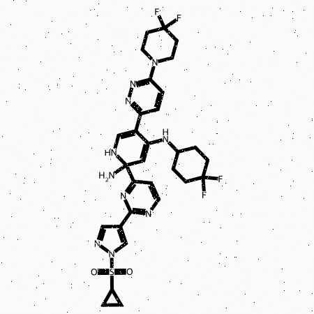 NC1(c2ccnc(-c3cnn(S(=O)(=O)C4CC4)c3)n2)C=C(NC2CCC(F)(F)CC2)C(c2ccc(N3CCC(F)(F)CC3)nn2)=CN1